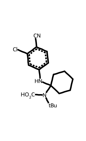 CC(C)(C)N(C(=O)O)C1(Nc2ccc(C#N)c(Cl)c2)CCCCC1